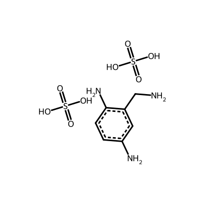 NCc1cc(N)ccc1N.O=S(=O)(O)O.O=S(=O)(O)O